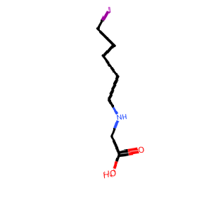 O=C(O)CNCCCCCI